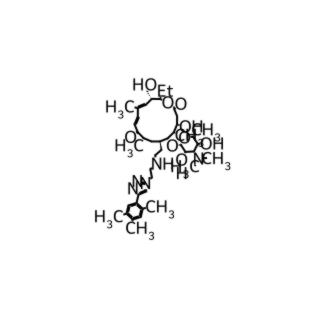 CC[C@H]1OC(=O)C[C@@H](O)[C@H](C)[C@@H](O[C@@H]2O[C@H](C)C(O)C(N(C)C)C2O)[C@@H](CCNCCn2cc(-c3cc(C)c(C)cc3C)nn2)C[C@@H](C)C(=O)/C=C/C(C)=C/[C@@H]1CO